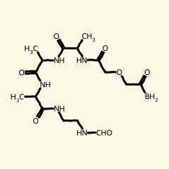 BC(=O)COCC(=O)NC(C)C(=O)NC(C)C(=O)NC(C)C(=O)NCCNC=O